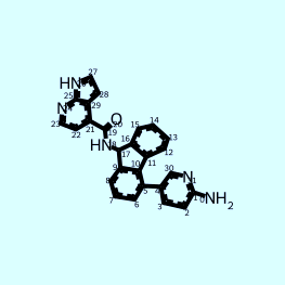 Nc1ccc(-c2cccc3c2-c2ccccc2C3NC(=O)c2ccnc3[nH]ccc23)cn1